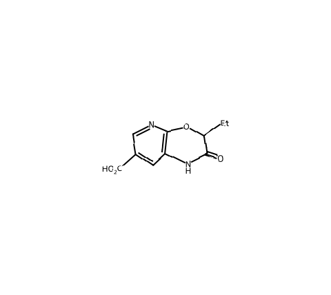 CCC1Oc2ncc(C(=O)O)cc2NC1=O